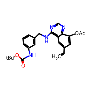 C=Cc1cc(OC(C)=O)c2ncnc(NCc3cccc(NC(=O)OC(C)(C)C)c3)c2c1